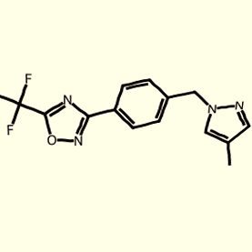 Cc1cnn(Cc2ccc(-c3noc(C(C)(F)F)n3)cc2)c1